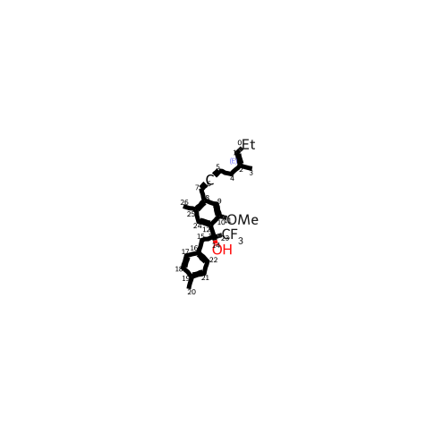 CC/C=C(\C)CC=C=Cc1cc(OC)c(C(O)(Cc2ccc(C)cc2)C(F)(F)F)cc1C